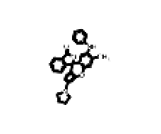 Cc1cc2c(cc1Nc1ccccc1)C1(OC(=O)c3ccccc31)c1ccc(N3CCCC3)cc1O2